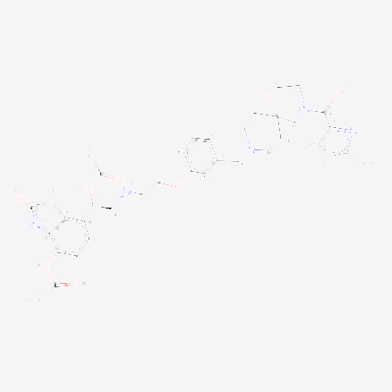 CC(C)c1nc(C(=O)N2CCOC3(CCN(Cc4cccc(OCCNC[C@H](OC(=O)C(F)(F)F)c5ccc(OC(=O)C(F)(F)F)c6[nH]c(=O)sc56)c4)CC3)C2)cs1